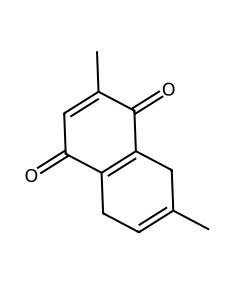 CC1=CCC2=C(C1)C(=O)C(C)=CC2=O